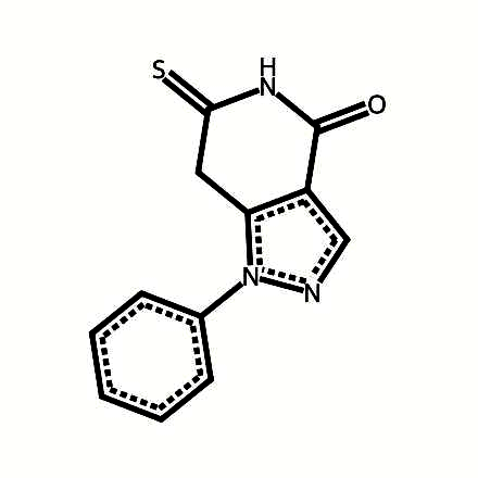 O=C1NC(=S)Cc2c1cnn2-c1ccccc1